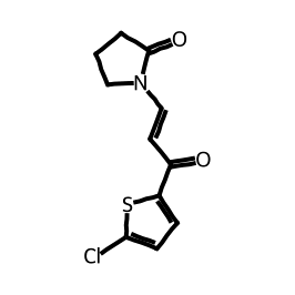 O=C(C=CN1CCCC1=O)c1ccc(Cl)s1